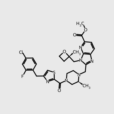 COC(=O)c1ccc2nc(CN3CCN(C(=O)c4nc(Cc5ccc(Cl)cc5F)cs4)C[C@@H]3C)n(C[C@]3(C)CCO3)c2n1